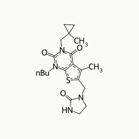 CCCCn1c(=O)n(CC2(C)CC2)c(=O)c2c(C)c(CN3CCNC3=O)sc21